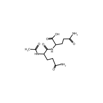 CC(=O)NC(CCC(N)=O)C(=O)NC(CCC(N)=O)C(=O)O